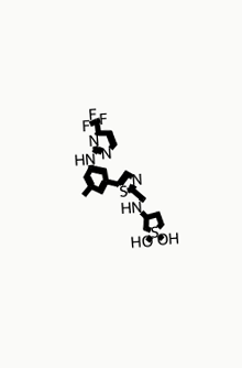 Cc1cc(Nc2nccc(C(F)(F)F)n2)cc(-c2cnc(CNC3CCS(O)(O)C3)s2)c1